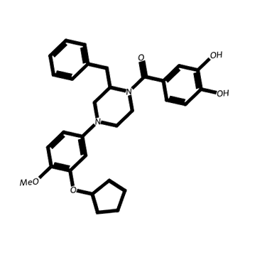 COc1ccc(N2CCN(C(=O)c3ccc(O)c(O)c3)C(Cc3ccccc3)C2)cc1OC1CCCC1